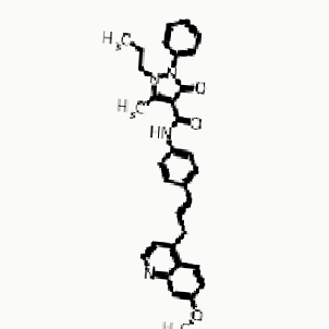 CCCn1c(C)c(C(=O)Nc2ccc(/C=C/Cc3ccnc4cc(OC)ccc34)cc2)c(=O)n1-c1ccccc1